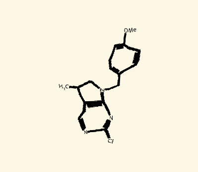 COc1ccc(CN2CC(C)c3cnc(Cl)nc32)cc1